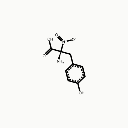 N[C@@](Cc1ccc(O)cc1)(C(=O)O)[N+](=O)[O-]